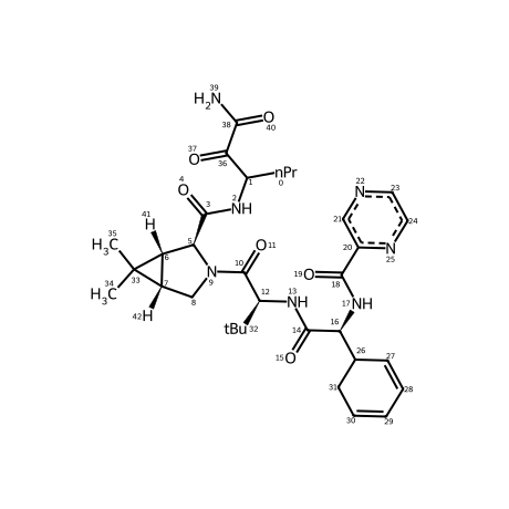 CCCC(NC(=O)[C@@H]1[C@@H]2[C@H](CN1C(=O)[C@@H](NC(=O)[C@@H](NC(=O)c1cnccn1)C1C=CC=CC1)C(C)(C)C)C2(C)C)C(=O)C(N)=O